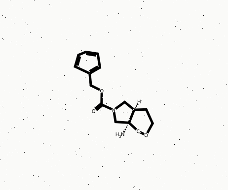 N[C@@]12COCC[C@@H]1CN(C(=O)OCc1ccccc1)C2